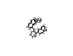 C(=C1/CCCN=C1c1ccc2ncccc2c1)/c1cccc2ccccc12.Cl.Cl